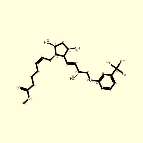 COC(=O)CCC/C=C\C[C@@H]1C(/C=C/[C@@H](O)COc2cccc(C(F)(F)F)c2)[C@H](O)C[C@@H]1O